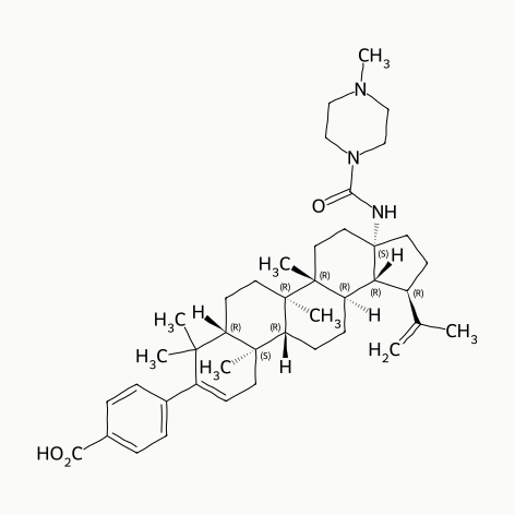 C=C(C)[C@@H]1CC[C@]2(NC(=O)N3CCN(C)CC3)CC[C@]3(C)[C@H](CC[C@@H]4[C@@]5(C)CC=C(c6ccc(C(=O)O)cc6)C(C)(C)[C@@H]5CC[C@]43C)[C@@H]12